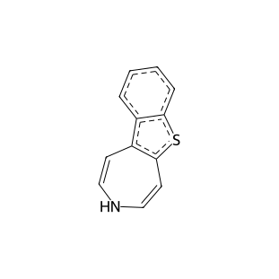 C1=Cc2sc3ccccc3c2C=CN1